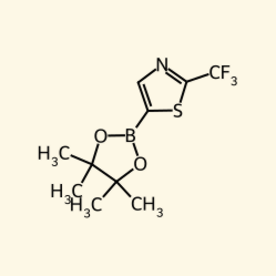 CC1(C)OB(c2cnc(C(F)(F)F)s2)OC1(C)C